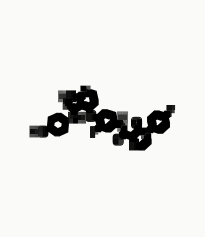 O=C(Nc1ccc(Oc2ccnc3[nH]nc(N[C@H]4CC[C@H](O)CC4)c23)c(F)c1)c1nccn(-c2ccc(F)cc2)c1=O